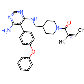 C/C=C(/C#N)C(=O)N1CCC(CNc2ncnc(N)c2-c2ccc(Oc3ccccc3)cc2)CC1